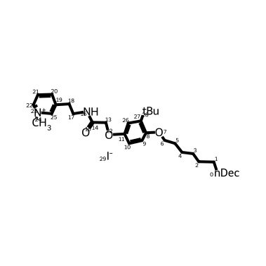 CCCCCCCCCCCCCCCCOc1ccc(OCC(=O)NCCc2ccc[n+](C)c2)cc1C(C)(C)C.[I-]